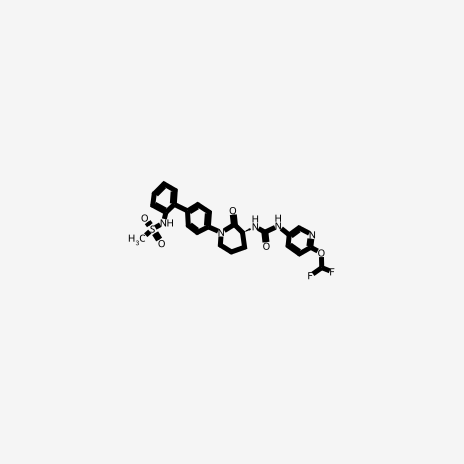 CS(=O)(=O)Nc1ccccc1-c1ccc(N2CCC[C@@H](NC(=O)Nc3ccc(OC(F)F)nc3)C2=O)cc1